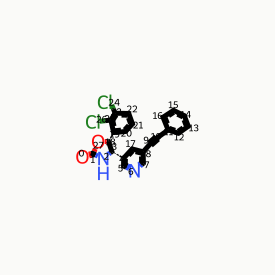 O=C1N[C@@H](c2cncc(C#Cc3ccccc3)c2)[C@@H](c2cccc(Cl)c2Cl)O1